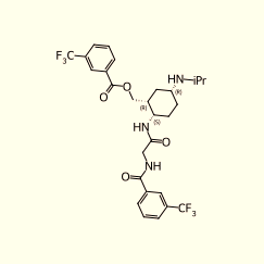 CC(C)N[C@@H]1CC[C@H](NC(=O)CNC(=O)c2cccc(C(F)(F)F)c2)[C@H](COC(=O)c2cccc(C(F)(F)F)c2)C1